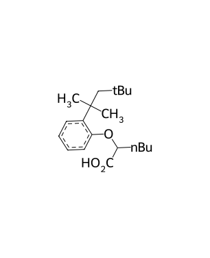 CCCCC(Oc1ccccc1C(C)(C)CC(C)(C)C)C(=O)O